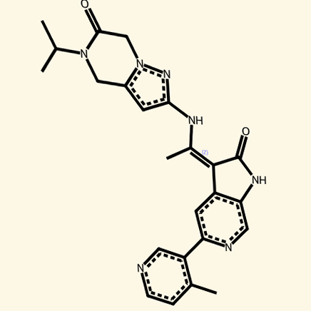 C/C(Nc1cc2n(n1)CC(=O)N(C(C)C)C2)=C1/C(=O)Nc2cnc(-c3cnccc3C)cc21